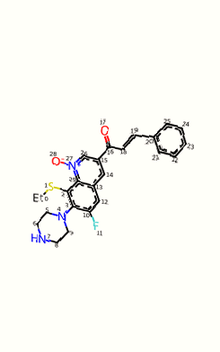 CCSc1c(N2CCNCC2)c(F)cc2cc(C(=O)C=Cc3ccccc3)c[n+]([O-])c12